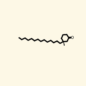 CCCCCCCCCCCCCC[C@]1(C)CCCC(=O)C1